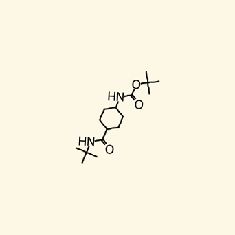 CC(C)(C)NC(=O)C1CCC(NC(=O)OC(C)(C)C)CC1